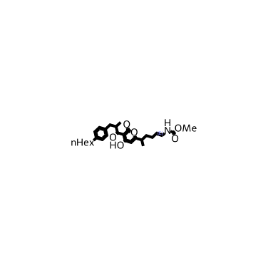 CCCCCCc1ccc(CC(C)C(=O)c2c(O)cc(C(C)CC/C=C/NC(=O)OC)oc2=O)cc1